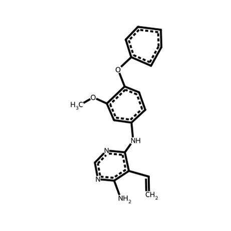 C=Cc1c(N)ncnc1Nc1ccc(Oc2ccccc2)c(OC)c1